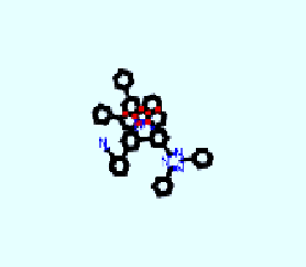 N#Cc1ccccc1-c1ccc(-n2c3ccccc3c3cc(-c4ccccc4)ccc32)c(-c2cc(-c3nc(-c4ccccc4)nc(-c4ccccc4)n3)ccc2-n2c3ccccc3c3cc(-c4ccccc4)ccc32)c1